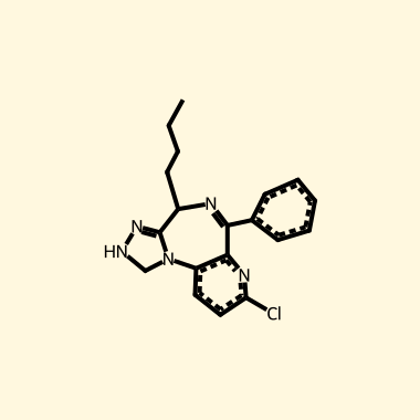 CCCCC1N=C(c2ccccc2)c2nc(Cl)ccc2N2CNN=C12